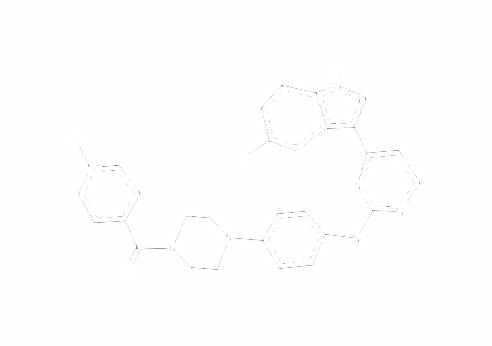 O=C(c1cc[n+]([O-])cc1)N1CCN(c2ccc(Nc3nccc(-c4c[nH]c5ccc(F)cc45)n3)cc2)CC1